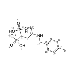 CCC(CC(P(=O)(O)O)P(=O)(O)O)NCc1ccc(C)cc1